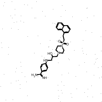 N=C(N)c1ccc(NCC(O)CN2CCN(S(=O)(=O)CCc3cccc4ccccc34)CC2)cc1